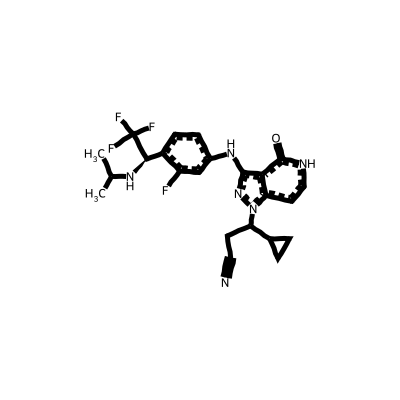 CC(C)N[C@H](c1ccc(Nc2nn(C(CC#N)C3CC3)c3cc[nH]c(=O)c23)cc1F)C(F)(F)F